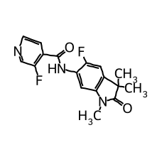 CN1C(=O)C(C)(C)c2cc(F)c(NC(=O)c3ccncc3F)cc21